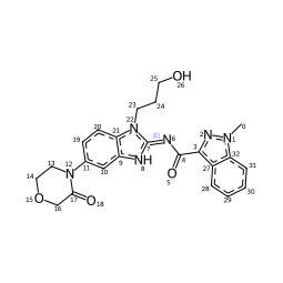 Cn1nc(C(=O)/N=c2\[nH]c3cc(N4CCOCC4=O)ccc3n2CCCO)c2ccccc21